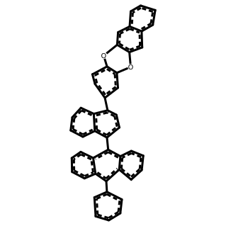 c1ccc(-c2c3ccccc3c(-c3ccc(-c4ccc5c(c4)Oc4cc6ccccc6cc4O5)c4ccccc34)c3ccccc23)cc1